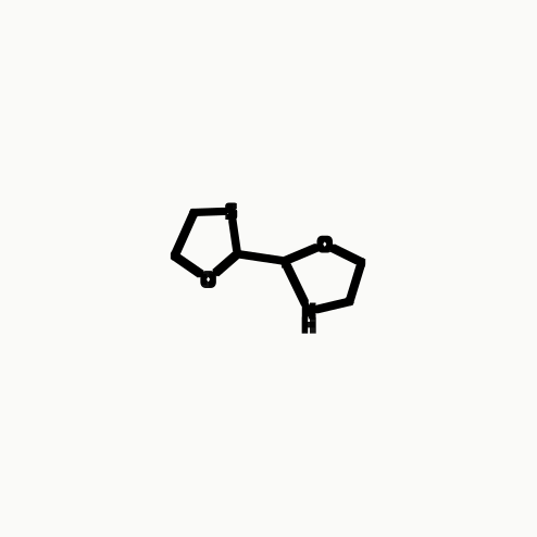 C1CO[C](C2OCCS2)N1